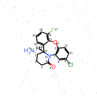 N[C@H]1CCC(=O)N2c3cc(Cl)ccc3Oc3c(F)cccc3[C@@H]12